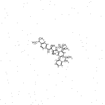 CC(C)c1ccc(NC(=N)C(=N)Nc2cc(-c3ccccc3)c(C(C)C)cc2C(C)(C)C)cc1